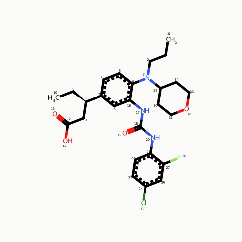 CCCN(c1ccc([C@H](CC)CC(=O)O)cc1NC(=O)Nc1ccc(Cl)cc1F)C1CCOCC1